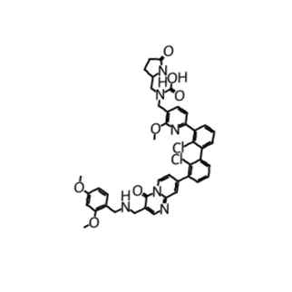 COc1ccc(CNCc2cnc3cc(-c4cccc(-c5cccc(-c6ccc(CN(CC7CCC(=O)N7)C(=O)O)c(OC)n6)c5Cl)c4Cl)ccn3c2=O)c(OC)c1